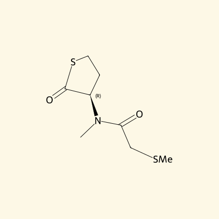 CSCC(=O)N(C)[C@@H]1CCSC1=O